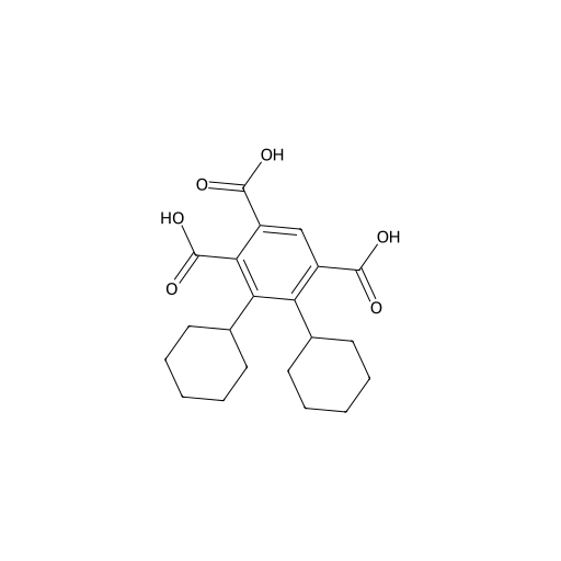 O=C(O)c1cc(C(=O)O)c(C2CCCCC2)c(C2CCCCC2)c1C(=O)O